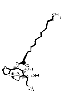 CCCCCCCCCCCC(=O)O[C@@H](C1OCCO1)[C@@H](O)[C@H](O)[C@H](O)CO